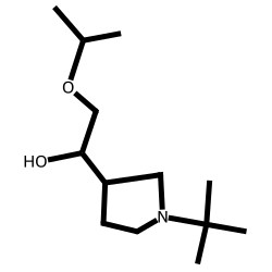 CC(C)OCC(O)C1CCN(C(C)(C)C)C1